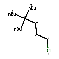 CCCCC(CCCC)(CCCC)CCCCl